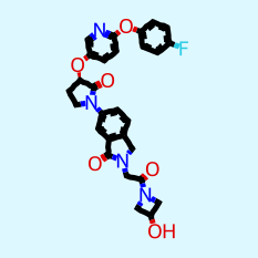 O=C(CN1Cc2ccc(N3CC[C@@H](Oc4ccc(Oc5ccc(F)cc5)nc4)C3=O)cc2C1=O)N1CC(O)C1